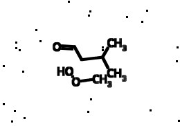 CC(C)CC=O.COO